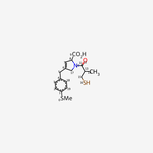 CSc1ccc(CC2=CC(C(=O)O)N(C(=O)C(C)CS)C2)cc1